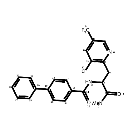 CNC(=O)C(Cc1ncc(C(F)(F)F)cc1Cl)NC(=O)c1ccc(-c2ccccc2)cc1